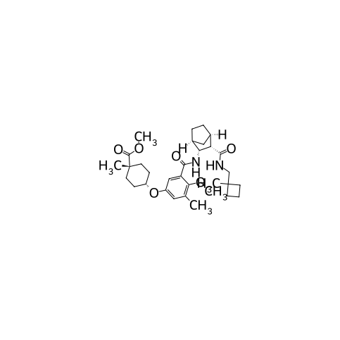 COc1c(C)cc(O[C@H]2CC[C@@](C)(C(=O)OC)CC2)cc1C(=O)N[C@@H]1[C@H]2CC[C@H](C2)[C@@H]1C(=O)NCC1(C)CCC1